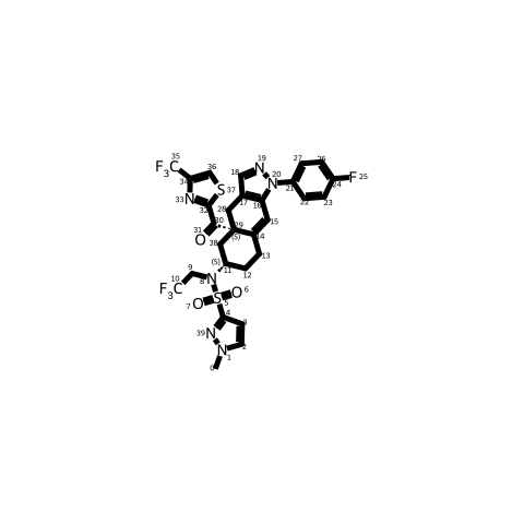 Cn1ccc(S(=O)(=O)N(CC(F)(F)F)[C@H]2CCC3=Cc4c(cnn4-c4ccc(F)cc4)C[C@]3(C(=O)c3nc(C(F)(F)F)cs3)C2)n1